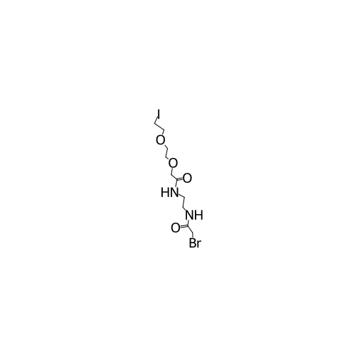 O=C(CBr)NCCNC(=O)COCCOCCI